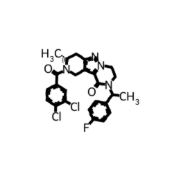 CC(c1ccc(F)cc1)N1CCn2nc3c(c2C1=O)CN(C(=O)c1ccc(Cl)c(Cl)c1)[C@H](C)C3